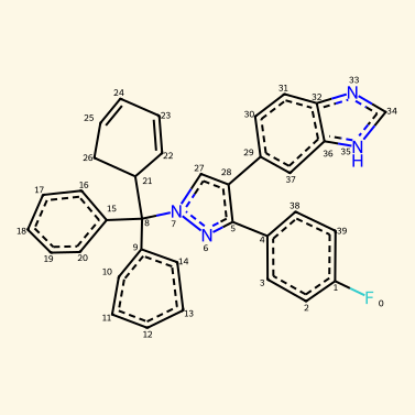 Fc1ccc(-c2nn(C(c3ccccc3)(c3ccccc3)C3C=CC=CC3)cc2-c2ccc3nc[nH]c3c2)cc1